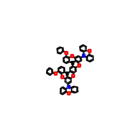 c1ccc(Oc2cccc3c2Oc2cc(N4c5ccccc5Oc5ccccc54)cc4c2B3c2cc3c(cc2O4)Oc2cc(N4c5ccccc5Oc5ccccc54)cc4c2B3c2cccc(Oc3ccccc3)c2O4)cc1